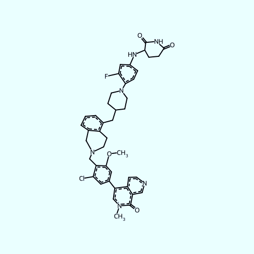 COc1cc(-c2cn(C)c(=O)c3cnccc23)cc(Cl)c1CN1CCc2c(CC3CCN(c4ccc(NC5CCC(=O)NC5=O)cc4F)CC3)cccc2C1